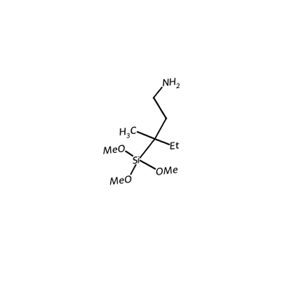 CCC(C)(CCN)[Si](OC)(OC)OC